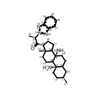 C[C@H]1CC[C@@]2(N)C(CC[C@]3(N)C2CC[C@@]2(C)C3CC[C@@H]2C(=O)[C@@H](C)n2nc3ccccc3n2)C1